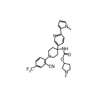 CN1CCC(OC(=O)NC2(c3ccc(-c4cccn4C)nc3)CCN(c3ccc(C(F)(F)F)cc3C#N)CC2)C1